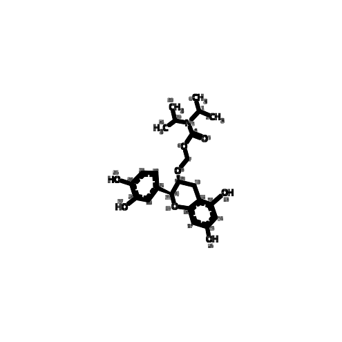 CC(C)N(C(=O)OCO[C@@H]1Cc2c(O)cc(O)cc2O[C@H]1c1ccc(O)c(O)c1)C(C)C